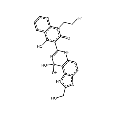 CC(C)CCn1c(=O)c(C2=NS(O)(O)c3c(ccc4nc(CO)[nH]c34)N2)c(O)c2cccnc21